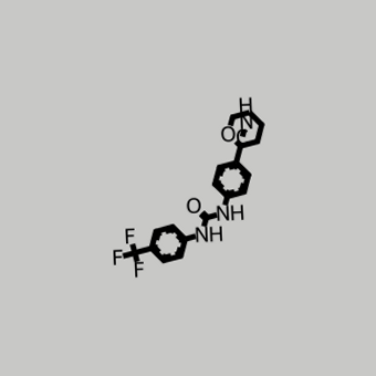 O=C(Nc1ccc(C(F)(F)F)cc1)Nc1ccc(C23CCC(CO2)NC3)cc1